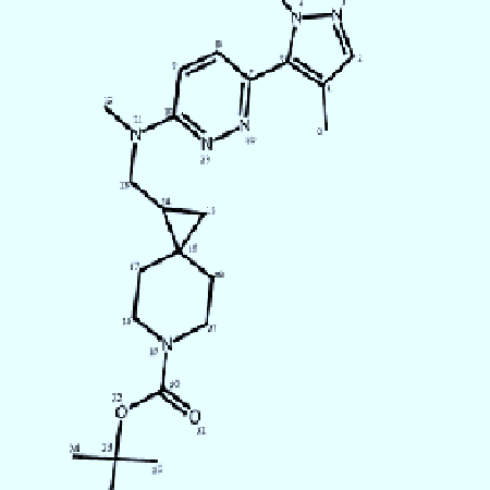 Cc1cnn(C)c1-c1ccc(N(C)CC2CC23CCN(C(=O)OC(C)(C)C)CC3)nn1